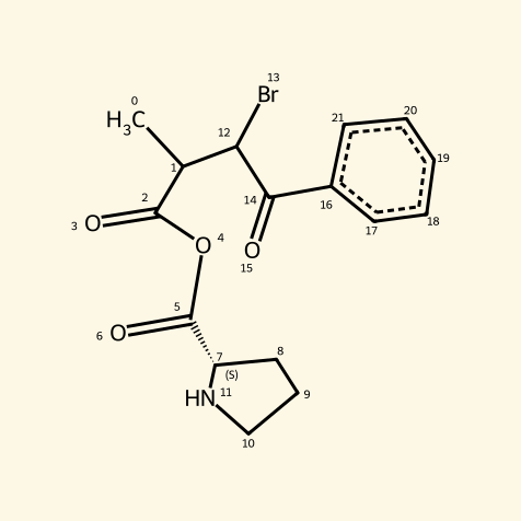 CC(C(=O)OC(=O)[C@@H]1CCCN1)C(Br)C(=O)c1ccccc1